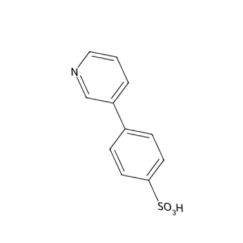 O=S(=O)(O)c1ccc(-c2cccnc2)cc1